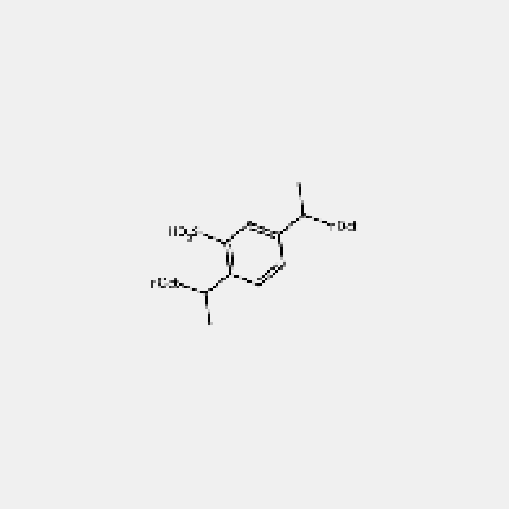 CCCCCCCCC(C)c1ccc(C(C)CCCCCCCC)c(S(=O)(=O)O)c1